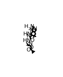 CC1(C)Cc2cnc(N)nc2-c2[nH]nc(C(=O)Nc3nc(OC(=O)C4CC4)cs3)c21